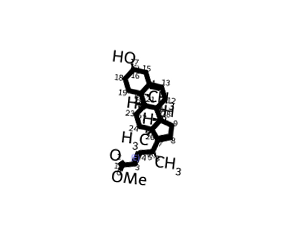 COC(=O)/C=C/[C@@H](C)C1=CC[C@H]2[C@@H]3CC=C4C[C@@H](O)CC[C@]4(C)[C@H]3CC[C@]12C